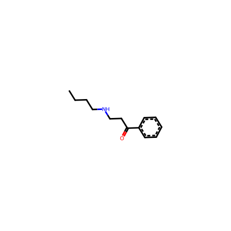 CCCCNCCC(=O)c1ccccc1